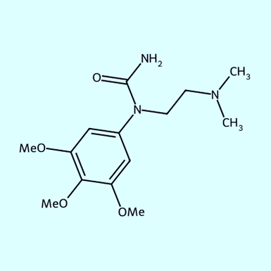 COc1cc(N(CCN(C)C)C(N)=O)cc(OC)c1OC